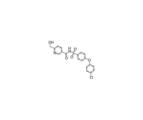 O=C(NS(=O)(=O)c1ccc(Oc2ccc(Cl)cc2)cc1)c1ccc(CO)nc1